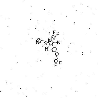 N#Cc1c(SCc2cccnc2)nc(N2CC(F)(F)C2)c(C#N)c1-c1ccc(OCCOC(F)F)cc1